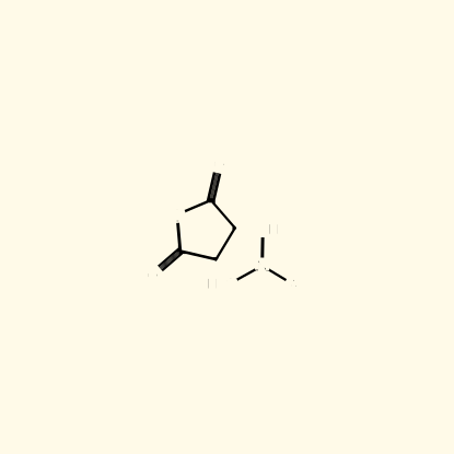 CC(=O)N(C)C.O=C1CCC(=O)O1